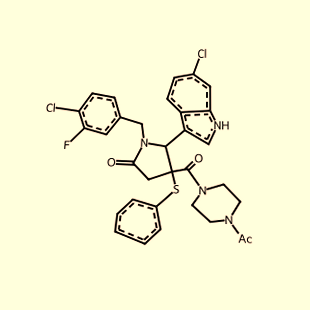 CC(=O)N1CCN(C(=O)C2(Sc3ccccc3)CC(=O)N(Cc3ccc(Cl)c(F)c3)C2c2c[nH]c3cc(Cl)ccc23)CC1